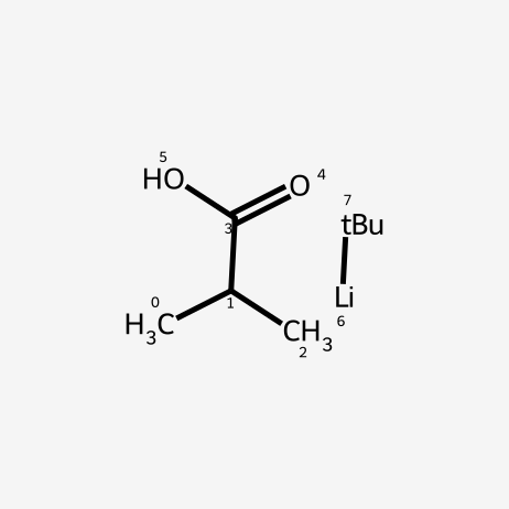 CC(C)C(=O)O.[Li][C](C)(C)C